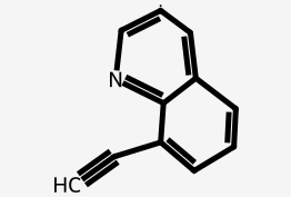 C#Cc1cccc2c[c]cnc12